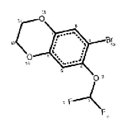 FC(F)Oc1cc2c(cc1Br)OCCO2